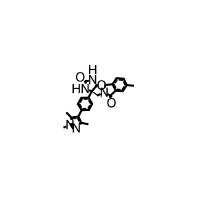 Cc1ccc2c(c1)C(=O)N(C[C@@]1(c3ccc(-c4c(C)nn(C)c4C)cc3)NC(=O)NC1=O)C2